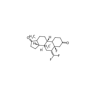 C[C@]12CC[C@H]3[C@@H](CC(=C(F)F)[C@@]4(F)CC(=O)CC[C@]34C)[C@@H]1CCC2=O